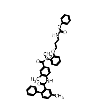 Cc1ccc(-c2ccccc2)c(C(=O)Nc2ccc(C(=O)N(C)c3ccccc3OCCCNC(=O)Oc3ccccc3)cc2C)c1